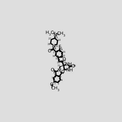 COc1ccc2c(c1)C(=O)N(C[C@@]1(c3cc4cc(C(=O)N5CCC(N(C)C)CC5)c(F)cc4o3)NC(=O)NC1=O)C2